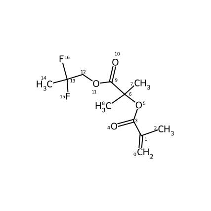 C=C(C)C(=O)OC(C)(C)C(=O)OCC(C)(F)F